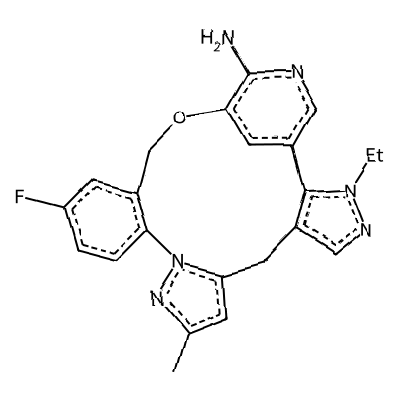 CCn1ncc2c1-c1cnc(N)c(c1)OCc1cc(F)ccc1-n1nc(C)cc1C2